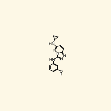 COc1cccc(Nc2nnc3ccc(NC4CC4)nn23)c1